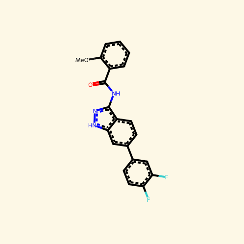 COc1ccccc1C(=O)Nc1n[nH]c2cc(-c3ccc(F)c(F)c3)ccc12